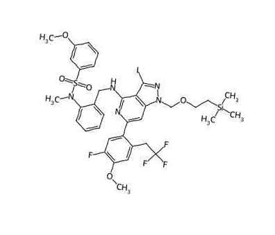 COc1cccc(S(=O)(=O)N(C)c2ccccc2CNc2nc(-c3cc(F)c(OC)cc3CC(F)(F)F)cc3c2c(I)nn3COCC[Si](C)(C)C)c1